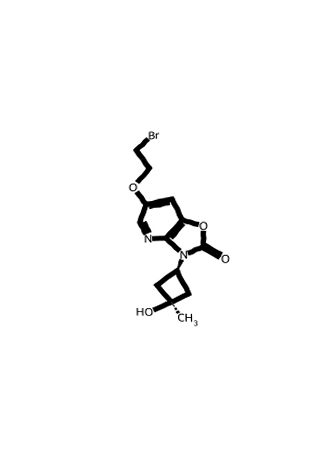 C[C@]1(O)C[C@@H](n2c(=O)oc3cc(OCCBr)cnc32)C1